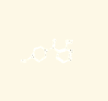 CC(C)N1CCN(C(=O)c2ccnnc2O)CC1